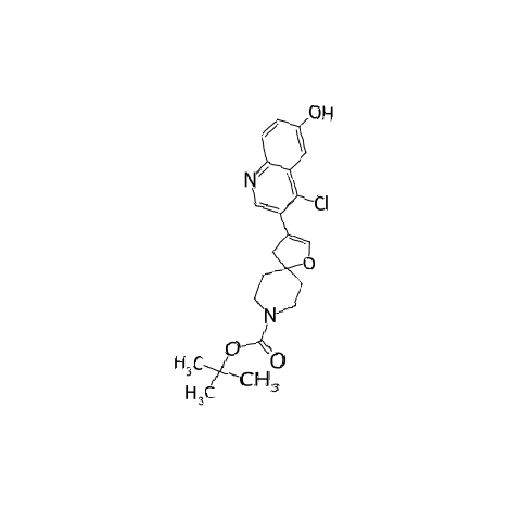 CC(C)(C)OC(=O)N1CCC2(CC1)CC(c1cnc3ccc(O)cc3c1Cl)=CO2